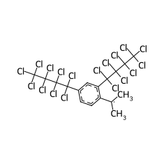 C[C](C)c1ccc(C(Cl)(Cl)C(Cl)(Cl)C(Cl)(Cl)C(Cl)(Cl)Cl)cc1C(Cl)(Cl)C(Cl)(Cl)C(Cl)(Cl)C(Cl)(Cl)Cl